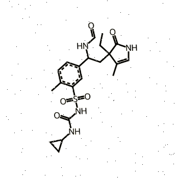 CCC1(CC(NC=O)c2ccc(C)c(S(=O)(=O)NC(=O)NC3CC3)c2)C(=O)NC=C1C